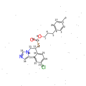 Cc1ccc(CCCOC(=O)SC(Cn2ccnc2)c2ccc(Cl)cc2)cc1